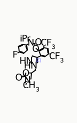 CC(C)N(C(=O)Oc1c(/C(C=N)=C/NCC2CN(C)C(=O)O2)cc(C(F)(F)F)cc1C(F)(F)F)c1ccc(F)cc1